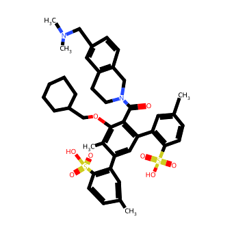 Cc1ccc(S(=O)(=O)O)c(-c2cc(-c3cc(C)ccc3S(=O)(=O)O)c(C(=O)N3CCc4cc(CN(C)C)ccc4C3)c(OCC3CCCCC3)c2C)c1